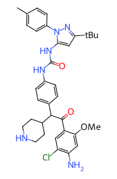 COc1cc(N)c(Cl)cc1C(=O)C(c1ccc(NC(=O)Nc2cc(C(C)(C)C)nn2-c2ccc(C)cc2)cc1)C1CCNCC1